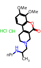 CCCNC(C)CN1CCc2c(c(=O)oc3c(OC)c(OC)ccc23)C1.Cl.Cl